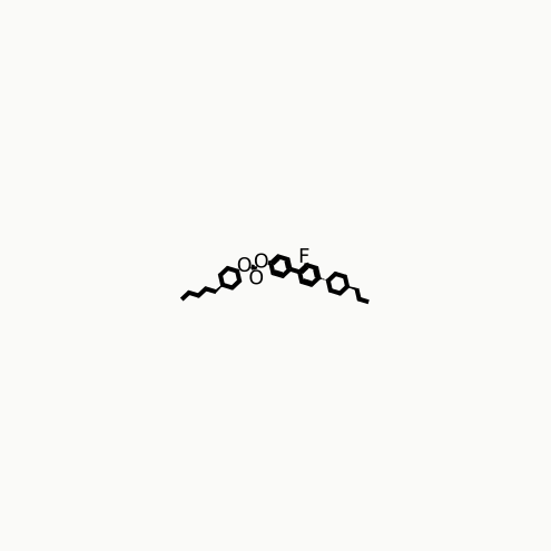 CCCCC[C@H]1CC[C@H](OC(=O)Oc2ccc(-c3ccc([C@H]4CC[C@H](CCC)CC4)cc3F)cc2)CC1